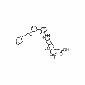 COc1cc2c(cc1CN1CCC(F)(F)CC1CC(=O)O)nc(-c1cccc(-c3cccc(OCCCN4CCOCC4)c3)c1C)n2C